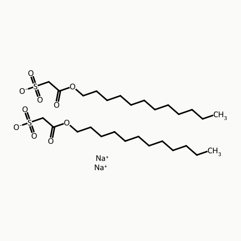 CCCCCCCCCCCCOC(=O)CS(=O)(=O)[O-].CCCCCCCCCCCCOC(=O)CS(=O)(=O)[O-].[Na+].[Na+]